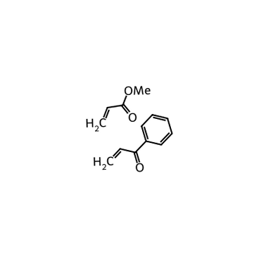 C=CC(=O)OC.C=CC(=O)c1ccccc1